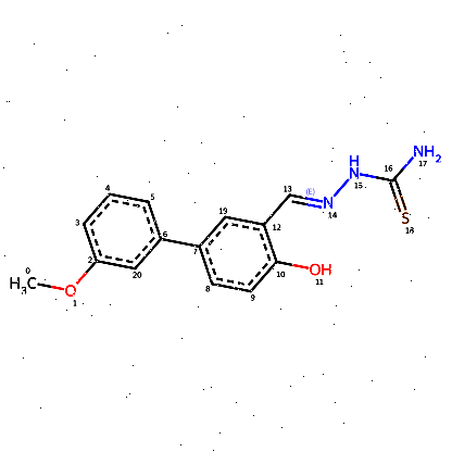 COc1cccc(-c2ccc(O)c(/C=N/NC(N)=S)c2)c1